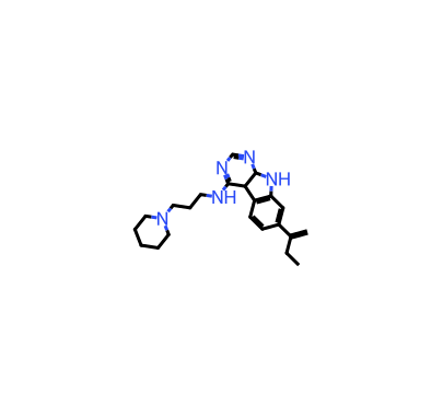 C=C(CC)c1ccc2c(c1)NC1N=CN=C(NCCCN3CCCCC3)C21